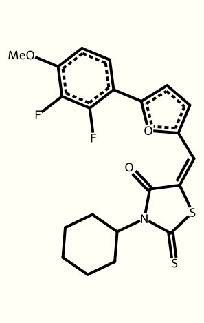 COc1ccc(-c2ccc(C=C3SC(=S)N(C4CCCCC4)C3=O)o2)c(F)c1F